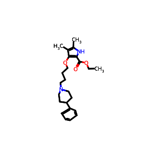 CCOC(=O)c1[nH]c(C)c(C)c1OCCCCN1CCC(c2ccccc2)CC1